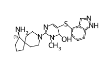 CN1C(N2CCC3(CCC[C@H]3N)CC2)=NC=C(Sc2cccc3[nH]ncc23)C1O